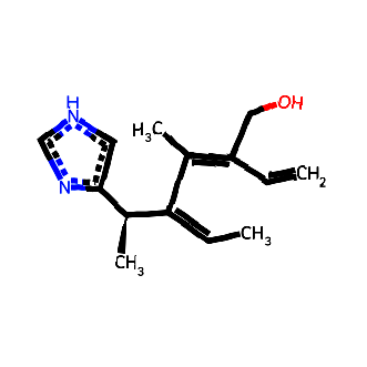 C=C/C(CO)=C(C)\C(=C/C)[C@@H](C)c1c[nH]cn1